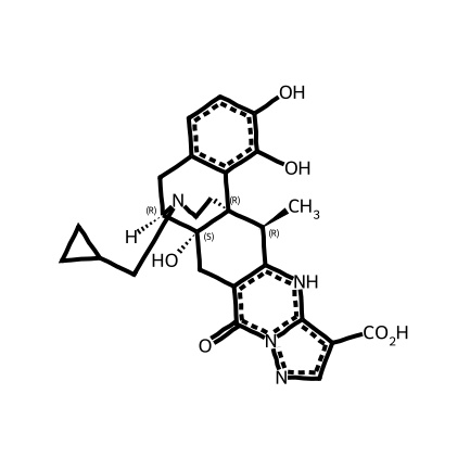 C[C@H]1c2[nH]c3c(C(=O)O)cnn3c(=O)c2C[C@@]2(O)[C@H]3Cc4ccc(O)c(O)c4[C@@]12CCN3CC1CC1